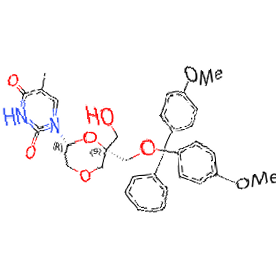 COc1ccc(C(OC[C@]2(CO)COC[C@H](n3cc(C)c(=O)[nH]c3=O)O2)(c2ccccc2)c2ccc(OC)cc2)cc1